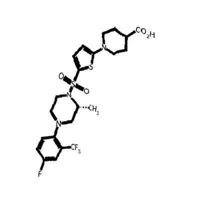 C[C@@H]1CN(c2ccc(F)cc2C(F)(F)F)CCN1S(=O)(=O)c1ccc(N2CCC(C(=O)O)CC2)s1